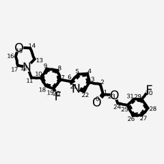 O=C(Cc1ccc(-c2ccc(CN3CCOCC3)cc2F)nc1)OCc1cccc(F)c1